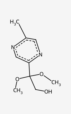 COC(CO)(OC)c1cnc(C)cn1